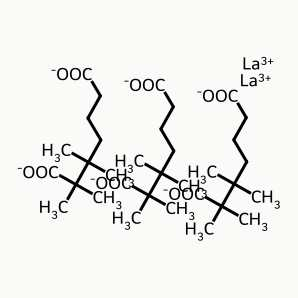 CC(C)(CCCC(=O)[O-])C(C)(C)C(=O)[O-].CC(C)(CCCC(=O)[O-])C(C)(C)C(=O)[O-].CC(C)(CCCC(=O)[O-])C(C)(C)C(=O)[O-].[La+3].[La+3]